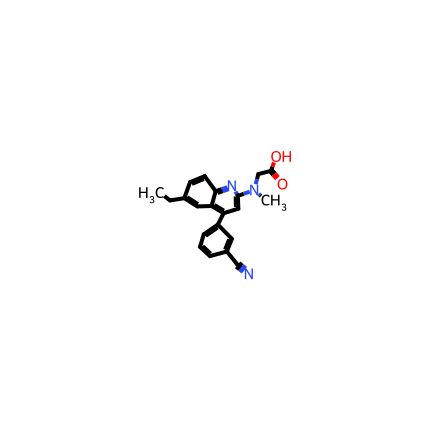 CCc1ccc2nc(N(C)CC(=O)O)cc(-c3cccc(C#N)c3)c2c1